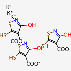 O=C([O-])c1c(O)nsc1S.O=C([O-])c1c(O)nsc1S.O=C([O-])c1c(O)nsc1S.[K+].[K+].[K+]